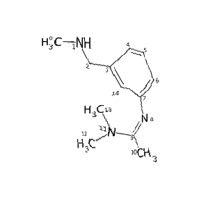 CNCc1cccc(N=C(C)N(C)C)c1